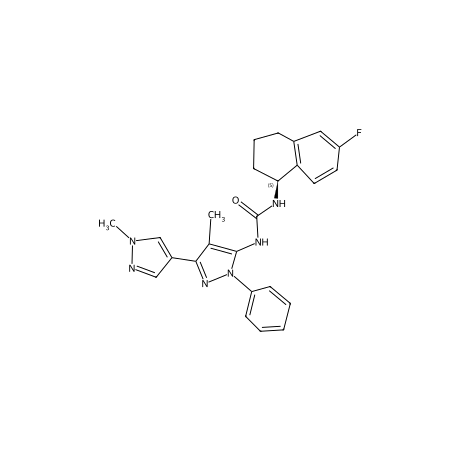 Cc1c(-c2cnn(C)c2)nn(-c2ccccc2)c1NC(=O)N[C@H]1CCCc2cc(F)ccc21